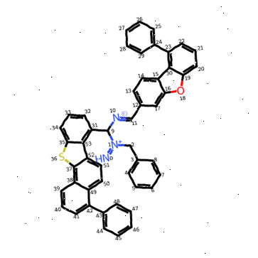 N=[N+](Cc1ccccc1)C(/N=C/c1ccc2c(c1)oc1cccc(-c3ccccc3)c12)c1cccc2sc3c4cccc(-c5ccccc5)c4ccc3c12